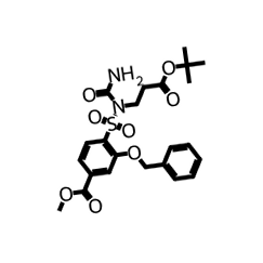 COC(=O)c1ccc(S(=O)(=O)N(CCC(=O)OC(C)(C)C)C(N)=O)c(OCc2ccccc2)c1